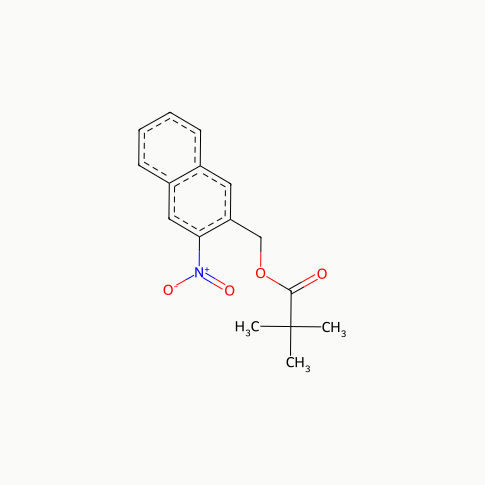 CC(C)(C)C(=O)OCc1cc2ccccc2cc1[N+](=O)[O-]